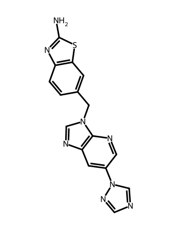 Nc1nc2ccc(Cn3cnc4cc(-n5cncn5)cnc43)cc2s1